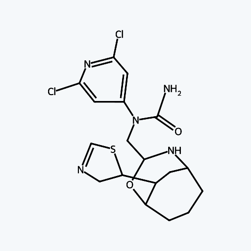 NC(=O)N(CC1NC2CCCC(O1)C(C1CN=CS1)C2)c1cc(Cl)nc(Cl)c1